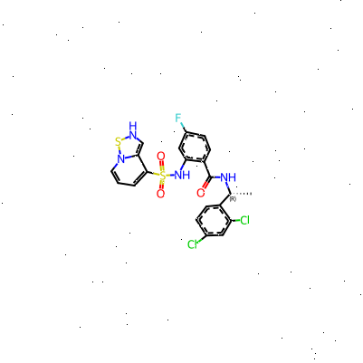 C[C@@H](NC(=O)c1ccc(F)cc1NS(=O)(=O)C1=CC=CN2SNC=C12)c1ccc(Cl)cc1Cl